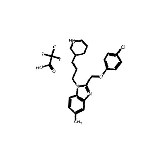 Cc1ccc2c(c1)nc(COc1ccc(Cl)cc1)n2CCCC1CCCNC1.O=C(O)C(F)(F)F